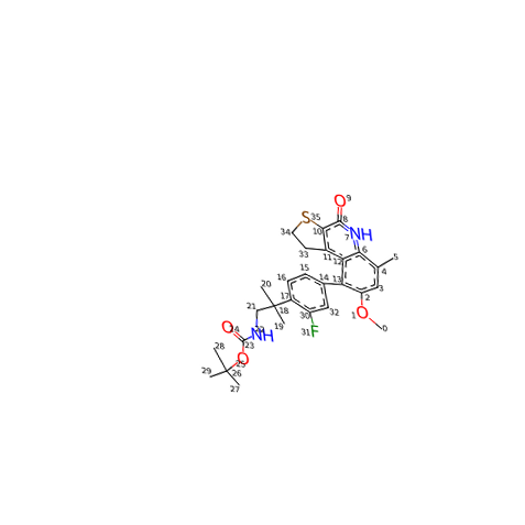 COc1cc(C)c2[nH]c(=O)c3c(c2c1-c1ccc(C(C)(C)CNC(=O)OC(C)(C)C)c(F)c1)CCS3